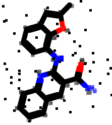 Cc1cc2cccc(Nc3nc4ccc[c]c4cc3C(N)=O)c2o1